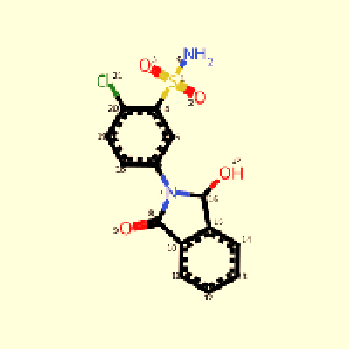 NS(=O)(=O)c1cc(N2C(=O)c3ccccc3C2O)ccc1Cl